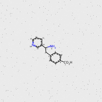 NC(Cc1ccc(C(=O)O)cc1)c1cccnc1